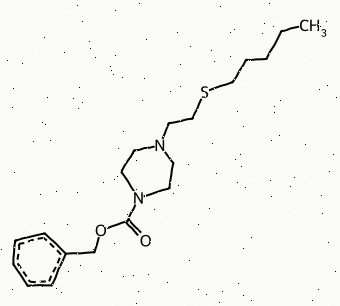 CCCCCSCCN1CCN(C(=O)OCc2ccccc2)CC1